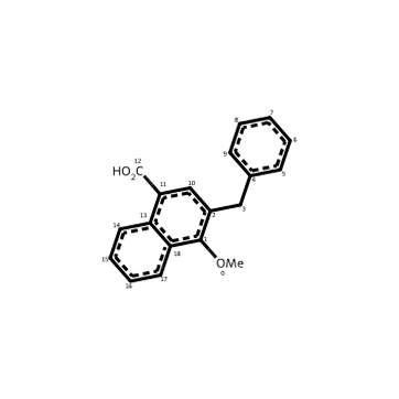 COc1c(Cc2ccccc2)cc(C(=O)O)c2ccccc12